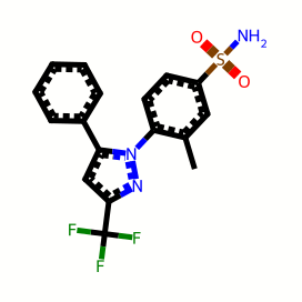 Cc1cc(S(N)(=O)=O)ccc1-n1nc(C(F)(F)F)cc1-c1ccccc1